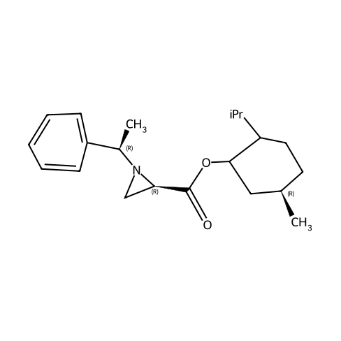 CC(C)C1CC[C@@H](C)CC1OC(=O)[C@H]1CN1[C@H](C)c1ccccc1